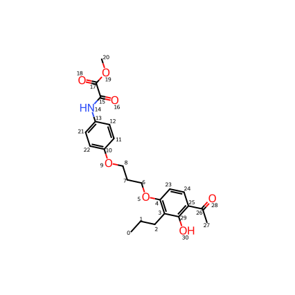 CCCc1c(OCCCOc2ccc(NC(=O)C(=O)OC)cc2)ccc(C(C)=O)c1O